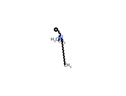 CCCCCCCCCCCCCCCCCCCc1nc(CCCc2ccccc2)cn1C(C)C